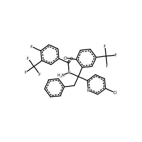 NN(C(=O)c1ccc(F)c(C(F)(F)F)c1)C(Cc1ccccc1)(c1ccc(Cl)cn1)c1cc(C(F)(F)F)ccc1Cl